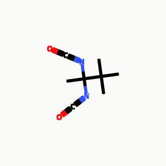 CC(C)(C)C(C)(N=C=O)N=C=O